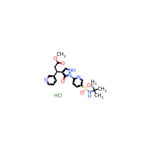 COC(=O)CC(c1cccnc1)c1c[nH]n(-c2ccc(S(=O)(=O)NC(C)(C)C)cn2)c1=O.Cl